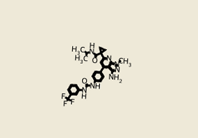 CC(C)NC(=O)C1(c2cc(-c3ccc(NC(=O)Nc4cccc(C(F)(F)F)c4)cc3)c3c(N)nn(C)c3n2)CC1